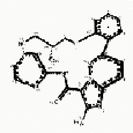 Cc1nc2ccc(-c3ccccc3OC[C@H](O)CO)nn2c1C(=O)Nc1cnccn1